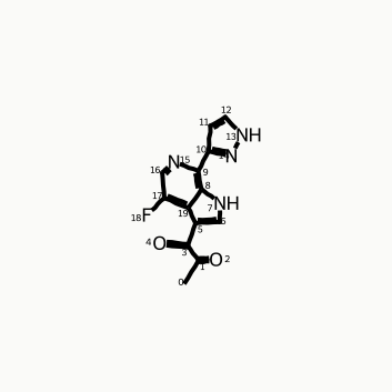 CC(=O)C(=O)c1c[nH]c2c(-c3cc[nH]n3)ncc(F)c12